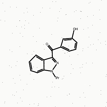 CC(C)n1nc(C(=O)c2cccc(O)c2)c2ccccc21